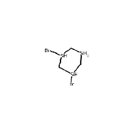 Br[SiH]1C[SiH2]C[SiH](Br)C1